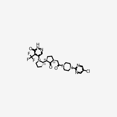 O=C1[C@H](CC(=O)N2CCN(c3ncc(Cl)cn3)CC2)CC[C@@H]1[C@@H]1CCCN1c1cn[nH]c(=O)c1C(F)(F)F